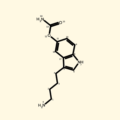 NCCCCc1c[nH]c2ccc(OC(N)=O)cc12